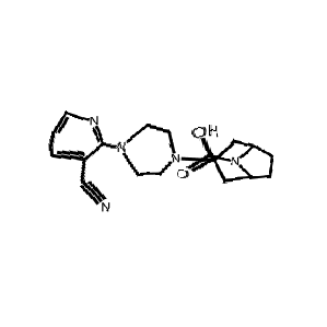 N#Cc1cccnc1N1CCN(C2CC3CCC(C2)N3C(=O)O)CC1